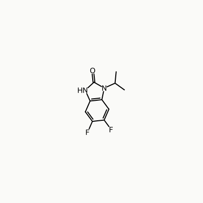 CC(C)n1c(=O)[nH]c2cc(F)c(F)cc21